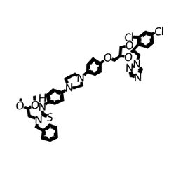 COC(CN(Cc1ccccc1)C(=S)Nc1ccc(N2CCN(c3ccc(OCC4COC(Cn5cncn5)(c5ccc(Cl)cc5Cl)O4)cc3)CC2)cc1)OC